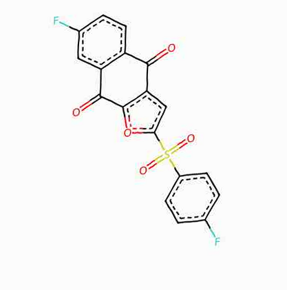 O=C1c2ccc(F)cc2C(=O)c2oc(S(=O)(=O)c3ccc(F)cc3)cc21